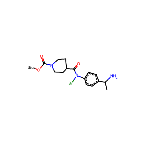 CC(N)c1ccc(N(Br)C(=O)C2CCN(C(=O)OC(C)(C)C)CC2)cc1